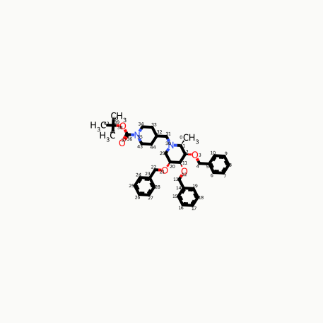 C[C@@H]1[C@@H](OCc2ccccc2)[C@H](OCc2ccccc2)[C@@H](OCc2ccccc2)CN1CC1CCN(C(=O)OC(C)(C)C)CC1